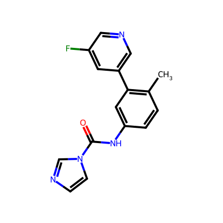 Cc1ccc(NC(=O)n2ccnc2)cc1-c1cncc(F)c1